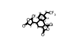 O=C1CC(C2CC3C(=O)OC(=O)C3c3cc(CC(F)(F)F)ccc32)C(=O)O1